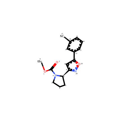 CC(C)(C)OC(=O)N1CCC[C@@H]1c1cc(-c2cccc(C#N)c2)on1